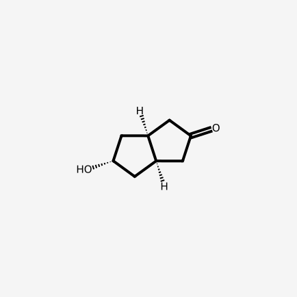 O=C1C[C@@H]2C[C@@H](O)C[C@@H]2C1